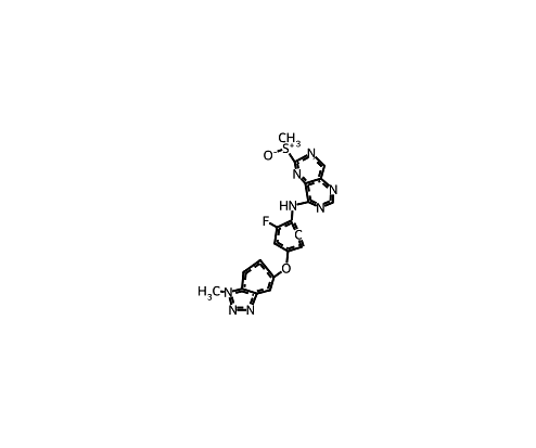 Cn1nnc2cc(Oc3ccc(Nc4ncnc5cnc([S+](C)[O-])nc45)c(F)c3)ccc21